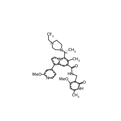 COc1cc(-c2ccn3c([C@@H](C)N4CCN(CC(F)(F)F)CC4)c(C)c(C(=O)NCc4c(OC)cc(C)[nH]c4=O)cc23)ccn1